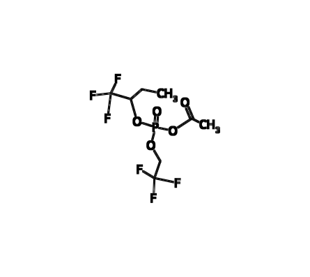 CCC(OP(=O)(OCC(F)(F)F)OC(C)=O)C(F)(F)F